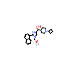 CCOCn1cc(C(O)C2CCN(C3CCC3)CC2)nc1-c1cccc2ccccc12